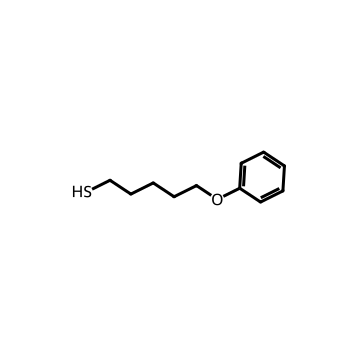 SCCCCCOc1ccccc1